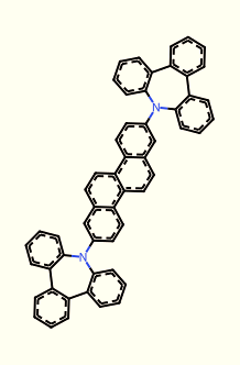 c1ccc2c(c1)-c1ccccc1N(c1ccc3c(ccc4c5ccc(N6c7ccccc7-c7ccccc7-c7ccccc76)cc5ccc34)c1)c1ccccc1-2